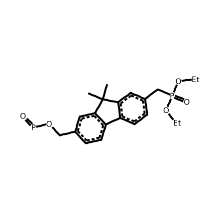 CCOP(=O)(Cc1ccc2c(c1)C(C)(C)c1cc(COP=O)ccc1-2)OCC